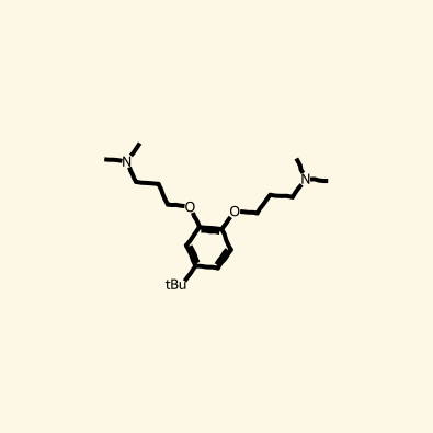 CN(C)CCCOc1ccc(C(C)(C)C)cc1OCCCN(C)C